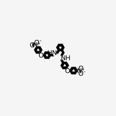 O=[N+]([O-])c1ccc(Oc2ccc(CNCCc3ccccc3CNCc3ccc(Oc4ccc([N+](=O)[O-])cc4)cc3)cc2)cc1